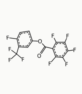 O=C(Oc1ccc(F)c(C(F)(F)F)c1)c1c(F)c(F)c(F)c(F)c1F